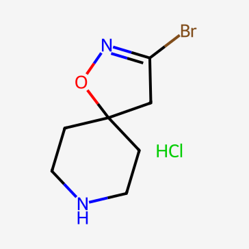 BrC1=NOC2(CCNCC2)C1.Cl